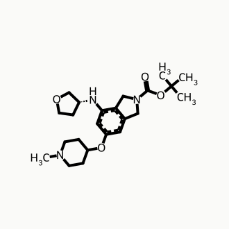 CN1CCC(Oc2cc3c(c(N[C@@H]4CCOC4)c2)CN(C(=O)OC(C)(C)C)C3)CC1